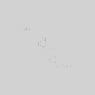 CCCCCc1ccc(OC(=O)c2cnc(C3CCC(CCC)CC3)nc2)cc1